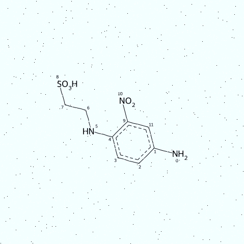 Nc1ccc(NCCS(=O)(=O)O)c([N+](=O)[O-])c1